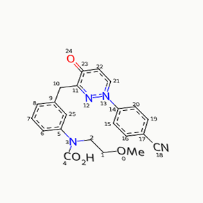 COCCN(C(=O)O)c1cccc(Cc2nn(-c3ccc(C#N)cc3)ccc2=O)c1